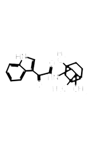 CC12CCC(CC1)C(C)(C)C2NC(=O)C(=O)c1c[nH]c2ccccc12